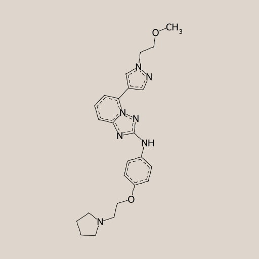 COCCn1cc(-c2cccc3nc(Nc4ccc(OCCN5CCCC5)cc4)nn23)cn1